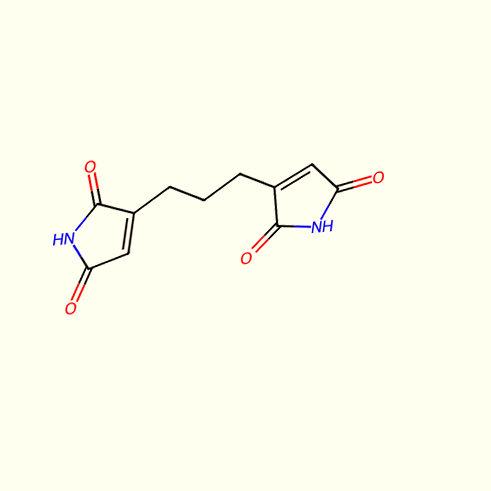 O=C1C=C(CCCC2=CC(=O)NC2=O)C(=O)N1